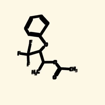 CC(=O)OC(C)C(Oc1ccccc1)C(F)(F)F